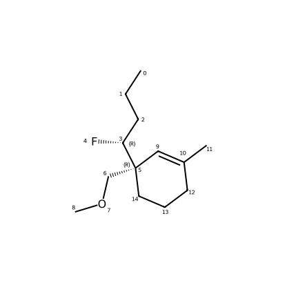 CCC[C@@H](F)[C@@]1(COC)C=C(C)CCC1